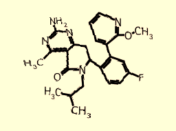 COc1ncccc1-c1cc(F)ccc1C1Cc2nc(N)nc(C)c2C(=O)N1CC(C)C